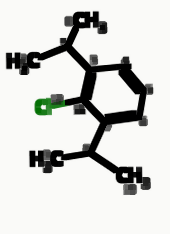 CC(C)c1[c]ccc(C(C)C)c1Cl